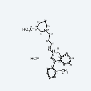 Cc1ccccc1C(=CCOCCCN1CCC[C@@H](C(=O)O)C1)c1ccccc1C.Cl